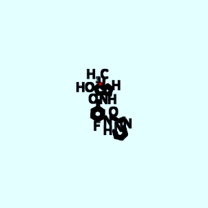 C[C@@H]1C[C@@H]2CC3(NC(=O)c4ccc(F)c(NC(=O)c5cnc6ccccn56)c4)CC(O)(CC23)C1